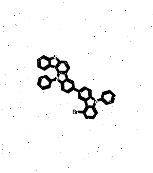 Brc1cccc2c1c1cc(-c3ccc4c(c3)c3ccc5sc6ccccc6c5c3n4-c3ccccc3)ccc1n2-c1ccccc1